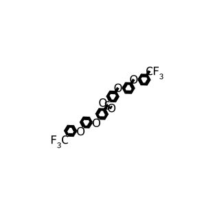 O=S(=O)(c1ccc(Oc2cccc(Oc3cccc(C(F)(F)F)c3)c2)cc1)c1ccc(Oc2cccc(Oc3cccc(C(F)(F)F)c3)c2)cc1